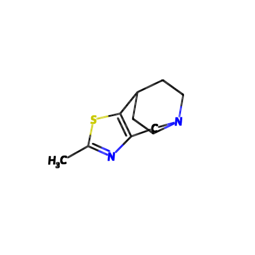 Cc1nc2c(s1)C1CCN(CC1)C2